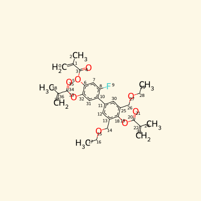 C=C(C)C(=O)Oc1cc(F)c(-c2cc(COCC)c(OC(=O)C(=C)C)c(COCC)c2)cc1OC(=O)C(=C)C